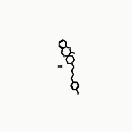 CC1Oc2ccccc2COC12CCN(CCCCc1ccc(F)cc1)CC2.Cl